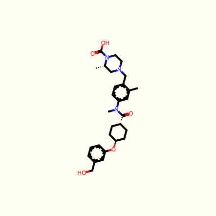 Cc1cc(N(C)C(=O)[C@H]2CC[C@H](Oc3cccc(CO)c3)CC2)ccc1CN1CCN(C(=O)O)[C@@H](C)C1